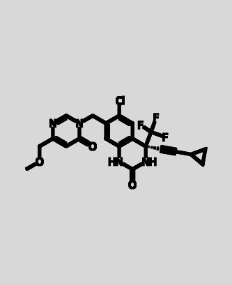 COCc1cc(=O)n(Cc2cc3c(cc2Cl)[C@@](C#CC2CC2)(C(F)(F)F)NC(=O)N3)cn1